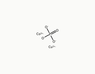 O=P([O-])([O-])[O-].[Co+2].[Cu+2]